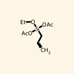 C=CC[Si](OCC)(OC(C)=O)OC(C)=O